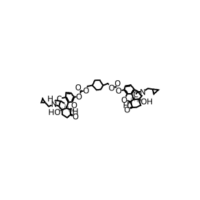 Cc1ccc(OC(=O)OCC2CCC(COC(=O)Oc3ccc4c5c3O[C@H]3C(=O)CC[C@@]6(O)C7N(CC8CC8)C47C[C@]536)CC2)c2c1[C@]13CC4CN(CC5CC5)C4[C@]1(O)CCC(=O)[C@@H]3O2